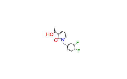 C=C(O)c1cccn(Cc2ccc(F)c(F)c2)c1=O